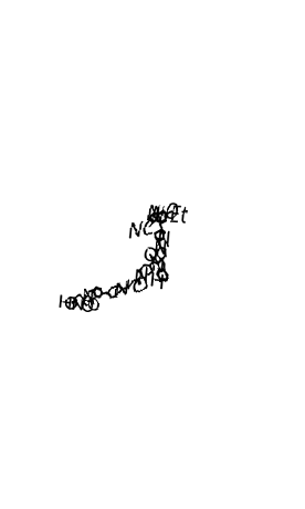 CCOc1cc(-c2ccc(N3CCC(Cc4ccccc4)(NC(=O)C4CCN(C(=O)CCN5CCC(c6ccc7c(c6)C(=O)N(C6CCC(=O)NC6=O)C7)CC5)CC4)CC3)nc2)c2c(C#N)cnn2c1